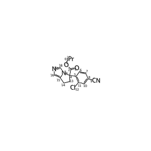 CC(C)OC(=O)C1(c2ccc(C#N)cc2Cl)CCc2cncn21